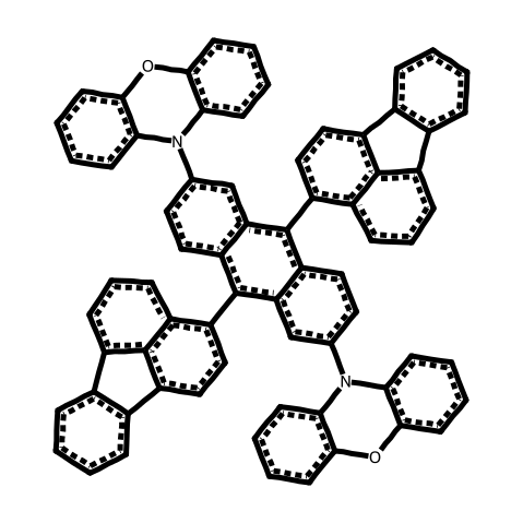 c1ccc2c(c1)Oc1ccccc1N2c1ccc2c(-c3ccc4c5c(cccc35)-c3ccccc3-4)c3cc(N4c5ccccc5Oc5ccccc54)ccc3c(-c3ccc4c5c(cccc35)-c3ccccc3-4)c2c1